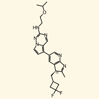 CC1=Nc2ncc(-c3ccn4nc(NCCOC(C)C)ncc34)cc2[C@@H]1CC1CC(F)(F)C1